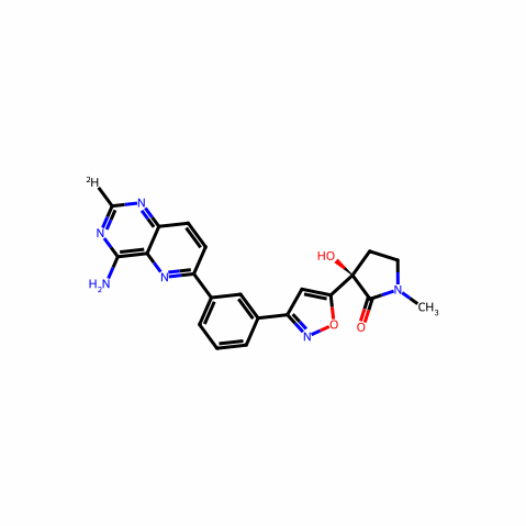 [2H]c1nc(N)c2nc(-c3cccc(-c4cc([C@]5(O)CCN(C)C5=O)on4)c3)ccc2n1